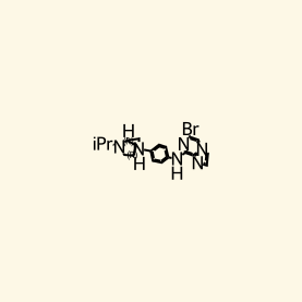 CC(C)N1C[C@H]2C[C@@H]1CN2c1ccc(Nc2nc(Br)cn3ccnc23)cc1